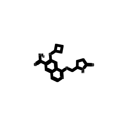 NC(=O)c1cc2ccnc(OCC3CCC(=O)N3)c2cc1OC1CCC1